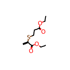 C=C(SCCC(=O)OCC)C(=O)OCC